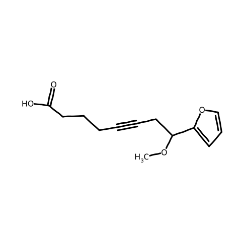 COC(CC#CCCCC(=O)O)c1ccco1